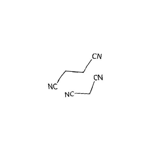 N#CCC#N.N#CCCC#N